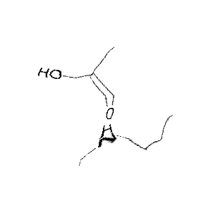 CC(=O)O.CCNC